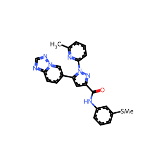 CSc1cccc(NC(=O)c2cc(-c3ccc4ncnn4c3)n(-c3cccc(C)n3)n2)c1